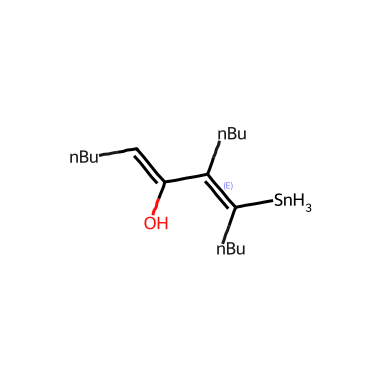 CCCCC=C(O)/C(CCCC)=[C](/[SnH3])CCCC